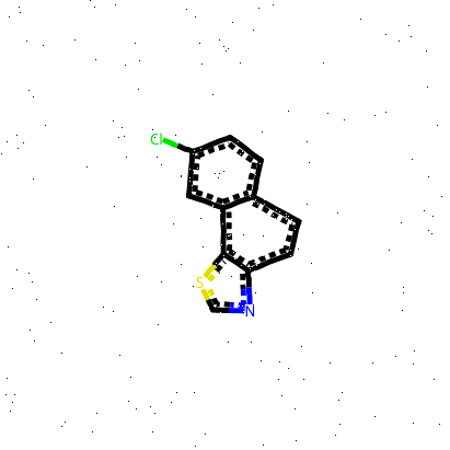 Clc1ccc2ccc3ncsc3c2c1